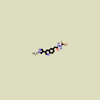 Cn1cc(-c2cnc3ccc(CC(=O)NNC(=S)S)cc3c2)cn1